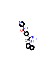 NC(C(=O)NC1CCCc2ccccc21)[C@H]1CC[C@H](C(=O)Nc2ccncc2)CC1